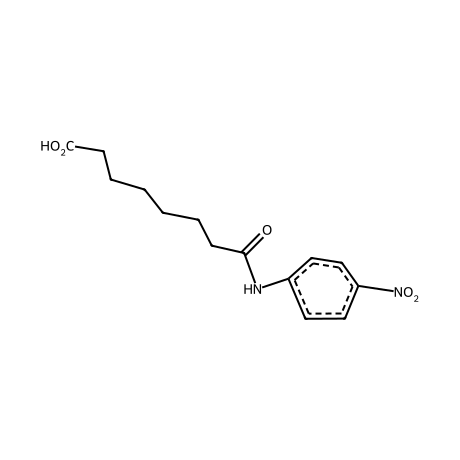 O=C(O)CCCCCCC(=O)Nc1ccc([N+](=O)[O-])cc1